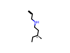 C=CCNCC[C@@H](C)CC